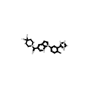 Cc1ccc(-n2ccc3cc(C(=O)N4CCC(F)(F)CC4)cnc32)cc1-c1nnc[nH]1